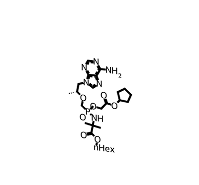 CCCCCCOC(=O)C(C)(C)NP(=O)(CO[C@H](C)Cn1cnc2c(N)ncnc21)OCC(=O)OC1CCCC1